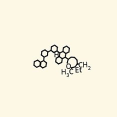 C=C1CCCC(C2C3CCCCC3C(C3CCCC(C4CCCC(C5CCCC6=C5CCCC6)C4)C3)[C@@H]3CCCCC23)COC(C)C1CC